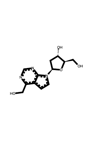 OCc1ncnc2c1ccn2[C@H]1C[C@H](O)[C@@H](CO)O1